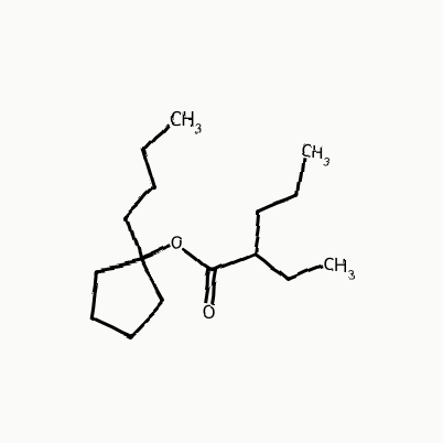 CCCCC1(OC(=O)C(CC)CCC)CCCC1